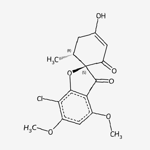 COc1cc(OC)c2c(c1Cl)O[C@@]1(C(=O)C=C(O)C[C@H]1C)C2=O